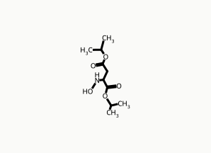 CC(C)OC(=O)CC(NO)C(=O)OC(C)C